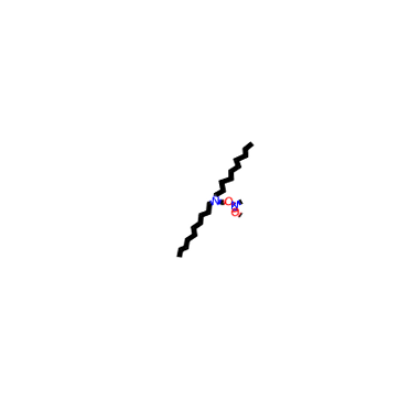 CCCCCCCCCCN(CCCCCCCCCC)CON(C)OC